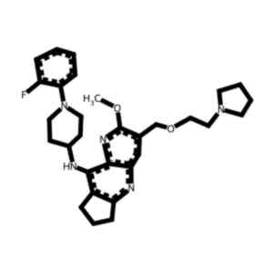 COc1nc2c(NC3CCN(c4ccccc4F)CC3)c3c(nc2cc1COCCN1CCCC1)CCC3